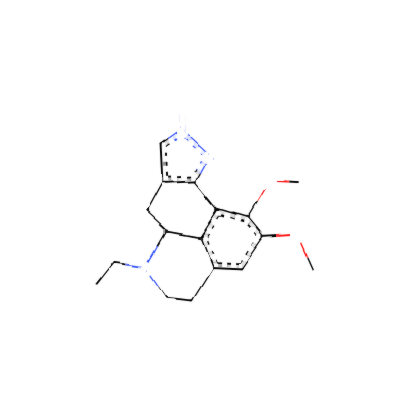 CCN1CCc2cc(OC)c(OC)c3c2C1Cc1c[nH]nc1-3